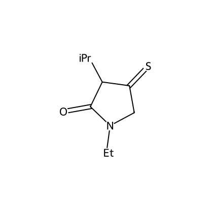 CCN1CC(=S)C(C(C)C)C1=O